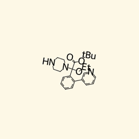 CCOC(C(=O)OC(C)(C)C)(c1ccccc1-c1cccnc1)N1CCNCC1